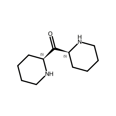 O=C([C@@H]1CCCCN1)[C@@H]1CCCCN1